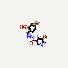 O=C(N/N=C\c1ccc(Br)cc1O)c1cncc(Br)c1